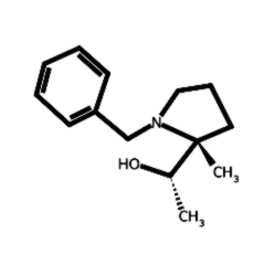 C[C@H](O)[C@@]1(C)CCCN1Cc1ccccc1